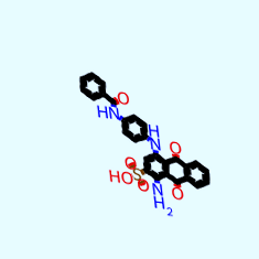 Nc1c(S(=O)(=O)O)cc(Nc2ccc(NC(=O)c3ccccc3)cc2)c2c1C(=O)c1ccccc1C2=O